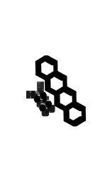 N=C=O.N=C=O.c1ccc2cc3cc4ccccc4cc3cc2c1